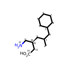 CC(CC1CCCCC1)C[C@H](CN)CC(=O)O